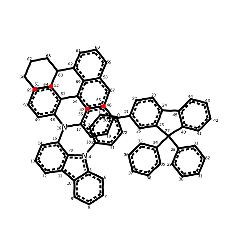 c1ccc(-n2c3ccccc3c3cccc(N(c4ccc(-c5ccc6c(c5)C(c5ccccc5)(c5ccccc5)c5ccccc5-6)cc4)c4ccccc4-c4cccc5cccc(C6CCCCC6)c45)c32)cc1